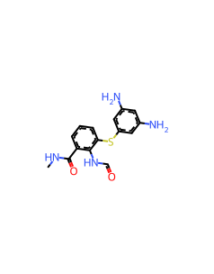 CNC(=O)c1cccc(Sc2cc(N)cc(N)c2)c1NC=O